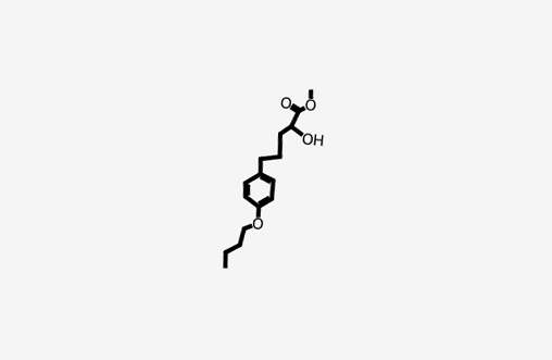 CCCCOc1ccc(CCCC(O)C(=O)OC)cc1